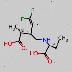 CC[C@H](NCC(C=C(F)F)[C@H](C)C(=O)O)C(=O)O